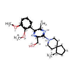 COc1cccc(-c2nc(CO)c(N3CCC4(CCC[C@H]4C)CC3)nc2C)c1OC